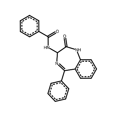 O=C(NC1N=C(c2ccccc2)c2ccccc2NC1=O)c1ccccc1